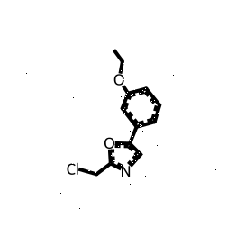 CCOc1cccc(-c2cnc(CCl)o2)c1